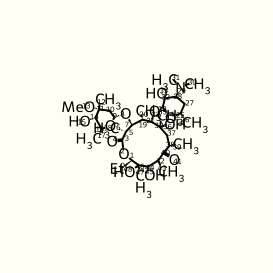 CC[C@H]1OC(=O)[C@H](C)[C@@H](O[C@H]2C[C@@](C)(OC)[C@@H](O)[C@H](C)O2)[C@H](C)[C@@H](O[C@@H]2O[C@H](C)C[C@H](N(C)C)[C@H]2O)[C@](C)(O)C[C@@H](C)C(=O)C(C)C(O)[C@]1(C)O